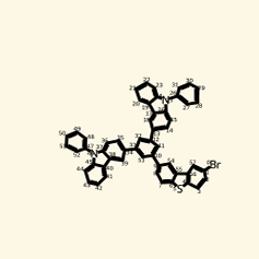 Brc1ccc2sc3ccc(-c4cc(-c5ccc6c(c5)c5ccccc5n6-c5ccccc5)cc(-c5ccc6c(c5)c5ccccc5n6-c5ccccc5)c4)cc3c2c1